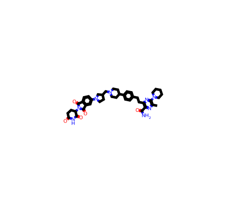 Cc1nc(C(N)=O)c(CCc2ccc(C3CCN(CC4CCN(c5ccc6c(c5)C(=O)N(C5CCC(=O)NC5=O)C6=O)C4)CC3)cc2)nc1N1CCCCC1